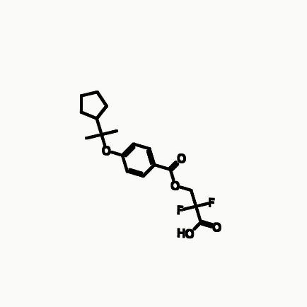 CC(C)(Oc1ccc(C(=O)OCC(F)(F)C(=O)O)cc1)C1CCCC1